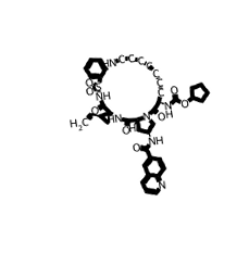 C=C[C@@H]1C[C@@]12NC(=O)[C@@H]1C[C@@H](NC(=O)c3ccc4ncccc4c3)CN1C(=O)[C@@H](NC(=O)OC1CCCC1)CCCCCCCNc1ccccc1S(=O)(=O)NC2=O